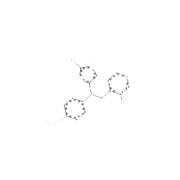 COc1ccc(C(Cc2ccccc2Cl)c2csc(N)n2)cc1